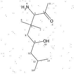 CC(=O)C(N)C(C)(C)CC(O)CC(C)C